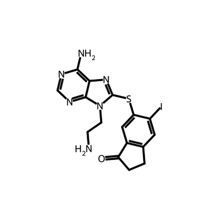 NCCn1c(Sc2cc3c(cc2I)CCC3=O)nc2c(N)ncnc21